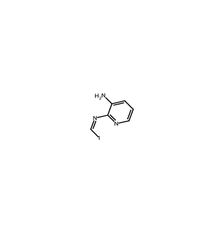 Nc1cccnc1/N=C\I